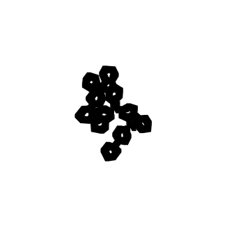 c1ccc(-c2ccc(-n3c4ccccc4c4ccc(N(c5ccc6c(c5)C(c5ccccc5)(c5ccc(-c7ccccc7)cc5)c5ccccc5-6)c5ccc6ccccc6c5)cc43)cc2)cc1